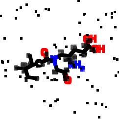 CC[C@@H](C)C(C)CC(=O)N(CC=O)C[C@@H](N)CCC(O)O